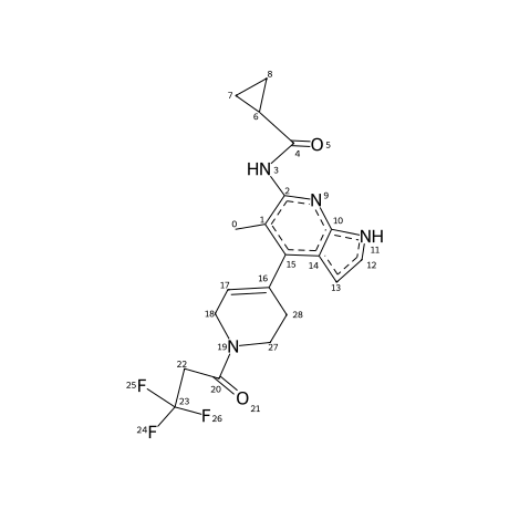 Cc1c(NC(=O)C2CC2)nc2[nH]ccc2c1C1=CCN(C(=O)CC(F)(F)F)CC1